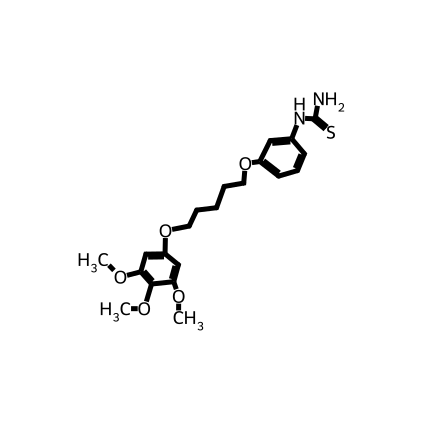 COc1cc(OCCCCCOc2cccc(NC(N)=S)c2)cc(OC)c1OC